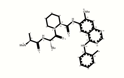 CN[C@@H](C)C(=O)N[C@H](C(=O)N1CCCC[C@H]1C(=O)Nc1cc2c(Nc3ccccc3C)ncnc2cc1OC)C(C)(C)C